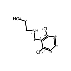 OCCNCc1c(Cl)cccc1Cl